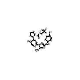 Nc1nc(NC2C=CC(F)=CC2)nn1C1=NC(N2CCC[C@@H]2C(=O)NCC(F)(F)F)C(F)C=N1